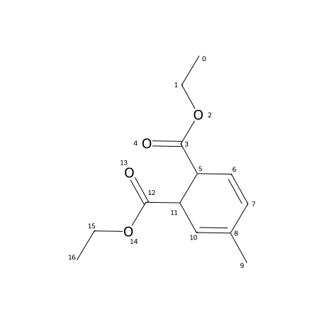 CCOC(=O)C1C=CC(C)=CC1C(=O)OCC